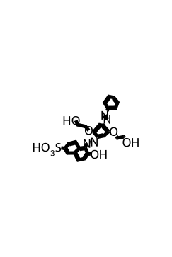 O=S(=O)(O)c1ccc2c(/N=N/c3cc(OCCO)c(/N=N/c4ccccc4)cc3OCCO)c(O)ccc2c1